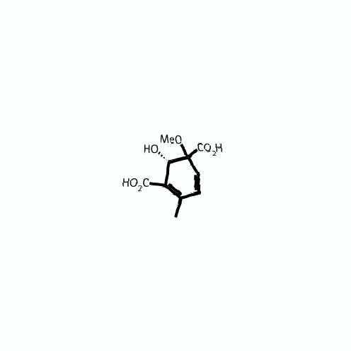 COC1(C(=O)O)C=CC(C)=C(C(=O)O)[C@@H]1O